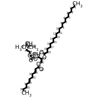 CCCCCCCCCCCCCCCCCCCCC(=O)OC(COC(=O)CCCCCCCCCC)COP(=O)(O)OCC[N+](C)(C)C